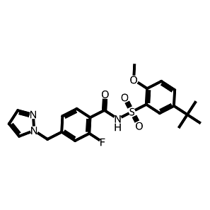 COc1ccc(C(C)(C)C)cc1S(=O)(=O)NC(=O)c1ccc(Cn2cccn2)cc1F